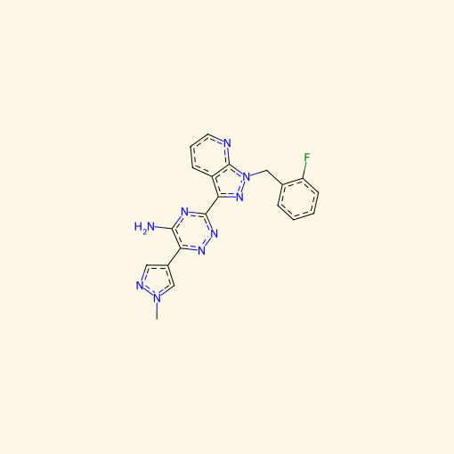 Cn1cc(-c2nnc(-c3nn(Cc4ccccc4F)c4ncccc34)nc2N)cn1